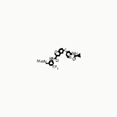 CNCc1cc(NC(=O)C2=Cc3cc(Oc4ccnc(NC(=O)C5CC5)c4)ccc3OC2)cc(C(F)(F)F)c1